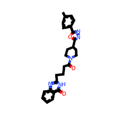 Cc1ccc(-c2nnc(C3CCN(C(=O)CCCc4nc5ccccc5c(=O)[nH]4)CC3)o2)cc1